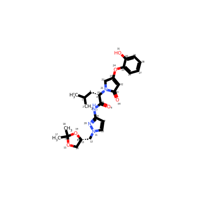 CC(C)C[C@@H](C(=O)Nc1ccn(C[C@@H]2COC(C)(C)O2)n1)N1CC(Oc2ccccc2O)=CC1=O